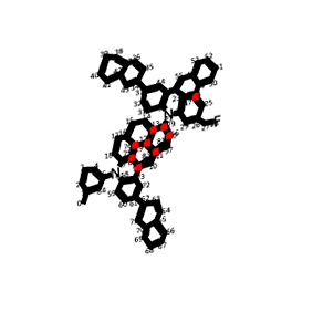 Cc1cccc(N(C2=C3C=CC4=C5C(=CC=C(C=C2)C35)C(N(c2cccc(CF)c2)c2ccc(-c3ccc5ccccc5c3)cc2-c2ccc3ccccc3c2)C=C4)c2ccc(-c3ccc4ccccc4c3)cc2-c2ccc3ccccc3c2)c1